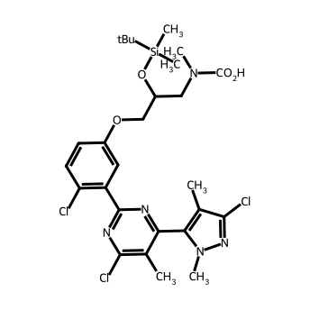 Cc1c(Cl)nc(-c2cc(OCC(CN(C)C(=O)O)O[Si](C)(C)C(C)(C)C)ccc2Cl)nc1-c1c(C)c(Cl)nn1C